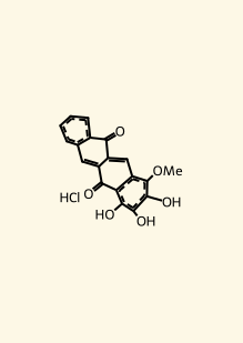 COc1c(O)c(O)c(O)c2c1C=C1C(=O)c3ccccc3C=C1C2=O.Cl